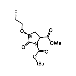 COC(=O)C1C[C@H](OCCF)C(=O)N1C(=O)OC(C)(C)C